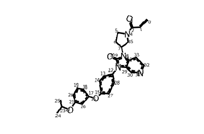 C=CC(=O)N1CCC(n2c(=O)n(-c3ccc(Oc4cccc(OC(C)C)c4)cc3)c3cnccc32)C1